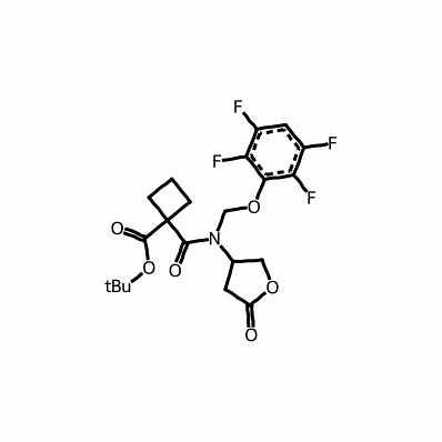 CC(C)(C)OC(=O)C1(C(=O)N(COc2c(F)c(F)cc(F)c2F)C2COC(=O)C2)CCC1